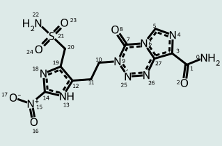 NC(=O)c1ncn2c(=O)n(CCc3[nH]c([N+](=O)[O-])nc3CS(N)(=O)=O)nnc12